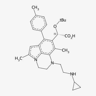 Cc1ccc(-c2c([C@H](OC(C)(C)C)C(=O)O)c(C)c3c4c2cc(C)n4CCN3CCNC2CC2)cc1